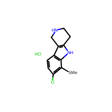 CSc1c(Cl)ccc2c3c([nH]c12)CCNC3.Cl